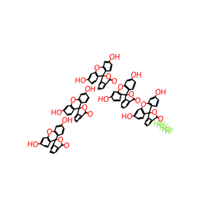 F.F.F.F.F.O=C1OC2(c3ccc(O)cc3Oc3cc(O)ccc32)c2ccccc21.O=C1OC2(c3ccc(O)cc3Oc3cc(O)ccc32)c2ccccc21.O=C1OC2(c3ccc(O)cc3Oc3cc(O)ccc32)c2ccccc21.O=C1OC2(c3ccc(O)cc3Oc3cc(O)ccc32)c2ccccc21.O=C1OC2(c3ccc(O)cc3Oc3cc(O)ccc32)c2ccccc21